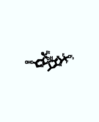 CCS(=O)(=O)c1cc(C=O)cnc1N1NC2=NC(C(F)(F)C(F)(F)F)=NC2=CC1C